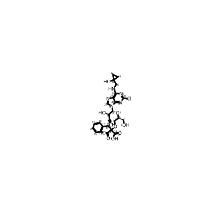 C#C[C@@H](O)[C@@H](O[C@@H](CO)COC(Cc1ccccc1)(C(=O)O)C(=O)O)n1cnc2c(NCC3(O)CC3)nc(Cl)nc21